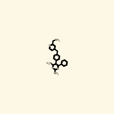 NCc1cc(Cc2ccc(-c3c(N)nc(N)nc3-c3ccccc3)cc2)ccn1